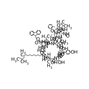 CCC(C)[C@H](NC(=O)[C@H](CCSC)NC=O)C(=O)N[C@@H](Cc1ccccc1)C(=O)N[C@@H](CC(C)C)C(=O)NCC[C@@H](O)[C@@H]1NC(=O)[C@H]([C@H](O)[C@@H](O)c2ccc(O)cc2)NC(=O)[C@@H]2C[C@@H](O)CN2C(=O)[C@H]([C@@H](C)O)NC(=O)[C@@H](NC(=O)CCCCCCCC[C@@H](C)C[C@@H](C)CC)C[C@@H](O)[C@@H](NCCNC(=O)OCC2c3ccccc3-c3ccccc32)NC(=O)[C@@H]2[C@@H](O)CCN2C1=O